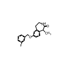 CC1C(=O)NCCc2cc(OCc3cccc(F)c3)ccc21